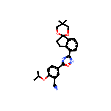 CC(C)Oc1ccc(-c2nc(-c3cccc4c3CCC43OCC(C)(C)CO3)no2)cc1C#N